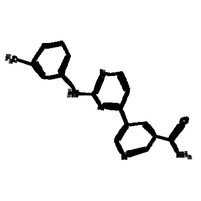 NC(=O)c1cncc(-c2ccnc(Nc3cccc(C(F)(F)F)c3)n2)c1